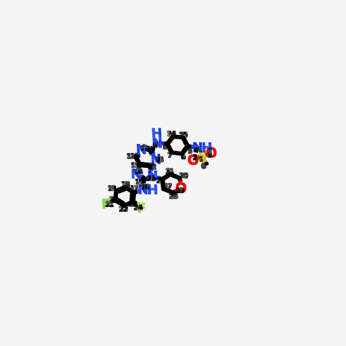 CS(=O)(=O)NC1CCC(Nc2ncc3nc(Nc4ccc(F)cc4F)n(C4CCOCC4)c3n2)CC1